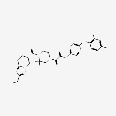 C=C(C(=O)Nc1cnc(Oc2ccc(F)cc2F)cn1)N1CCN(C(=O)[C@H]2CCc3nc(CO)nn3C2)C(C)(C)C1